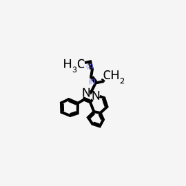 C=C/C(=C\C=C/C)c1nc(-c2ccccc2)c2c3ccccc3ccn12